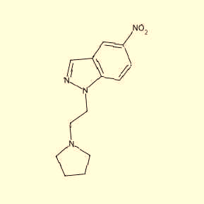 O=[N+]([O-])c1ccc2c(cnn2CCN2CCCC2)c1